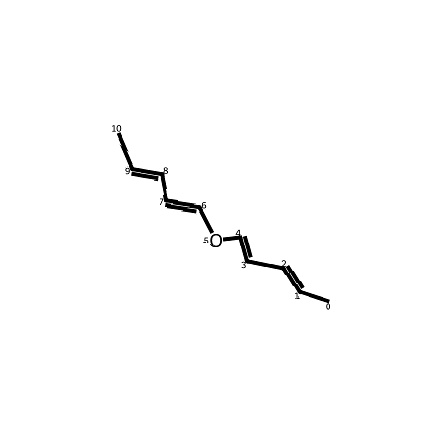 CC=CC=COC=CC=CC